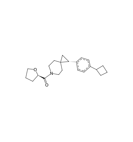 O=C([C@H]1CCCO1)N1CCC2(CC1)C[C@@H]2c1ccc(C2CCC2)cc1